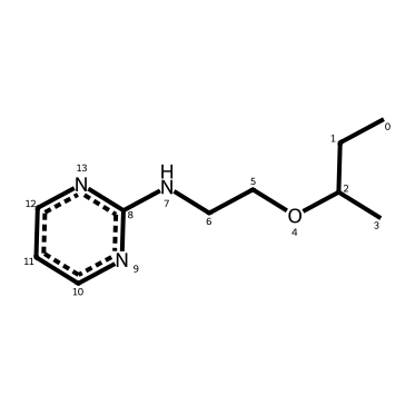 CCC(C)OCCNc1ncccn1